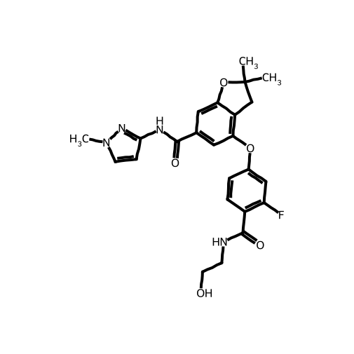 Cn1ccc(NC(=O)c2cc(Oc3ccc(C(=O)NCCO)c(F)c3)c3c(c2)OC(C)(C)C3)n1